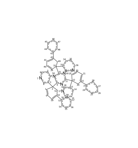 C1=CC(c2cccnc2)(c2nc(C3(c4cccnc4)C=CC=C(c4ccccc4)C3)nc(C3(c4cccnc4)C=CC=C(c4ccccc4)C3)n2)CC(c2ccccc2)=C1